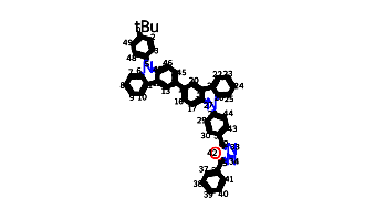 CC(C)(C)c1ccc(-n2c3ccccc3c3cc(-c4ccc5c(c4)c4ccccc4n5-c4ccc(-c5nnc(-c6ccccc6)o5)cc4)ccc32)cc1